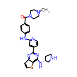 CN1CCN(C(=O)c2ccc(Nc3cc(-c4nc(N[C@@H]5CCNC5)c5sccc5n4)ccn3)cc2)CC1